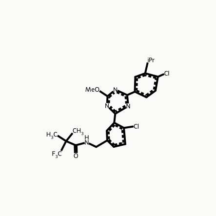 COc1nc(-c2ccc(Cl)c(C(C)C)c2)nc(-c2cc(CNC(=O)C(C)(C)C(F)(F)F)ccc2Cl)n1